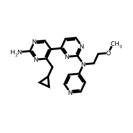 COCCN(c1ccncc1)c1nccc(-c2cnc(N)nc2CC2CC2)n1